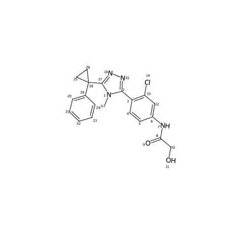 Cn1c(-c2ccc(NC(=O)CO)cc2Cl)nnc1C1(c2ccccc2)CC1